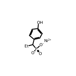 CCC(c1ccc(O)cc1)P(=O)([O-])[O-].[Ni+2]